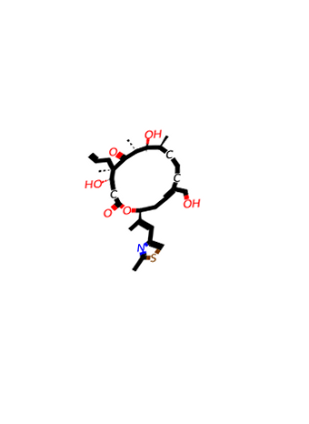 C=CC[C@@]1(C)C(=O)[C@H](C)[C@@H](O)[C@@H](C)CCC/C(CO)=C\C[C@@H](/C(C)=C/c2csc(C)n2)OC(=O)C[C@@H]1O